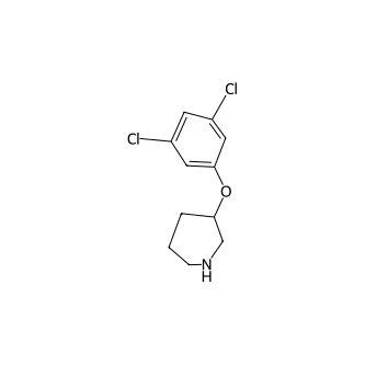 Clc1cc(Cl)cc(OC2CCCNC2)c1